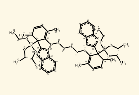 CCO[Si](OCC)(OCC)C1(c2nc3ccccc3s2)C(SSSSSSC2=C(C)C=CC(C)C2(c2nc3ccccc3s2)[Si](OCC)(OCC)OCC)=C(C)C=CC1C